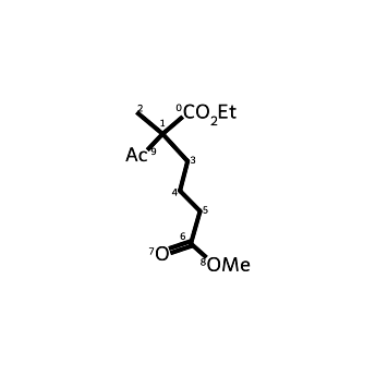 CCOC(=O)C(C)(CCCC(=O)OC)C(C)=O